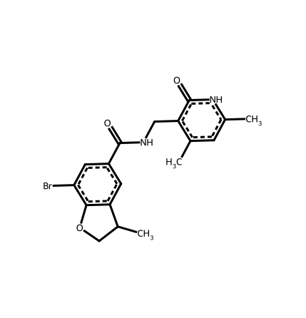 Cc1cc(C)c(CNC(=O)c2cc(Br)c3c(c2)C(C)CO3)c(=O)[nH]1